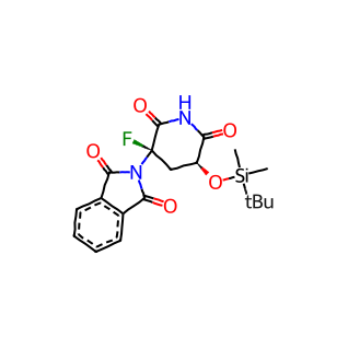 CC(C)(C)[Si](C)(C)O[C@H]1C[C@](F)(N2C(=O)c3ccccc3C2=O)C(=O)NC1=O